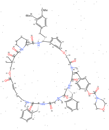 COc1ccc(CC[C@H]2NC(=O)[C@@H]3CCCCN3C(=O)C(=O)C(C)(C)COC(=O)/C=C/CCN(C)C(=O)[C@@H](Cc3ccccc3)NC(=O)CN(C)C(=O)[C@@H](Cc3ccccc3)NC(=O)[C@H](Cc3ccc(OC(=O)N4CCOCC4)cc3)N(C)C(=O)COc3cccc2c3)cc1OC